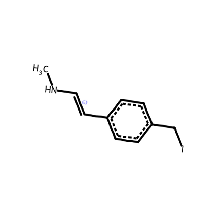 CN/C=C/c1ccc(CI)cc1